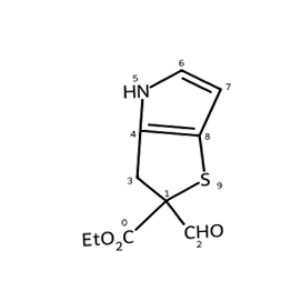 CCOC(=O)C1(C=O)Cc2[nH]ccc2S1